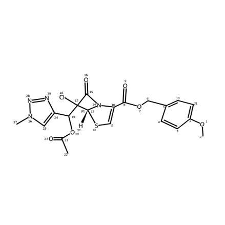 COc1ccc(COC(=O)C2=CS[C@H]3N2C(=O)C3(Cl)C(OC(C)=O)c2cn(C)nn2)cc1